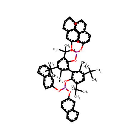 Cc1c(C(C)(C)C)cc(C(C)(C)C)c(OP(Oc2ccc3ccccc3c2)Oc2ccc3ccccc3c2)c1-c1c(C)c(C(C)(C)C)cc(C(C)(C)C)c1OP(Oc1ccc2ccccc2c1)Oc1ccc2ccccc2c1